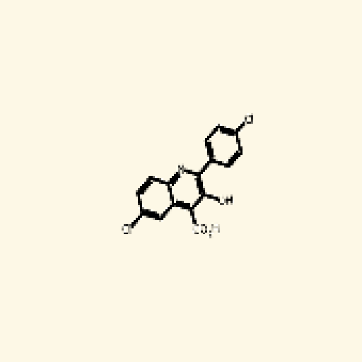 O=C(O)c1c(O)c(-c2ccc(Cl)cc2)nc2ccc(Cl)cc12